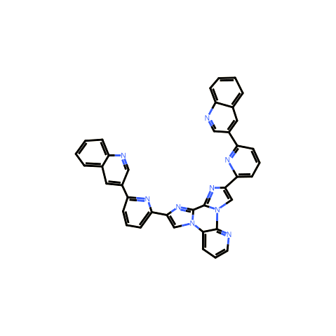 c1cc(-c2cnc3ccccc3c2)nc(-c2cn3c4cccnc4n4cc(-c5cccc(-c6cnc7ccccc7c6)n5)nc4c3n2)c1